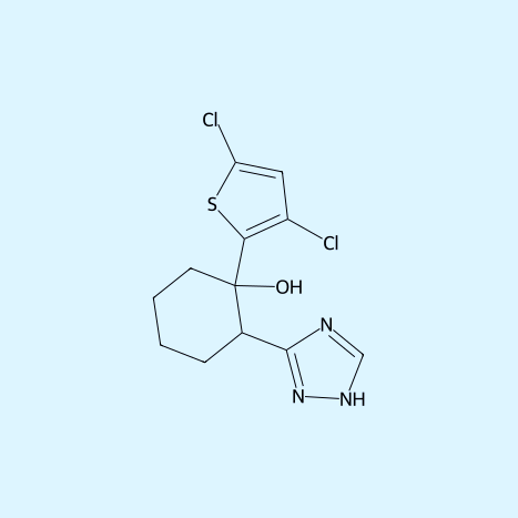 OC1(c2sc(Cl)cc2Cl)CCCCC1c1nc[nH]n1